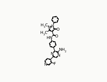 Cc1c(C(=O)Nc2ccc(-c3nc(-c4ccncc4F)cnc3N)cc2)c(=O)n(-c2ccccc2)n1C